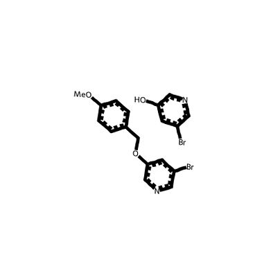 COc1ccc(COc2cncc(Br)c2)cc1.Oc1cncc(Br)c1